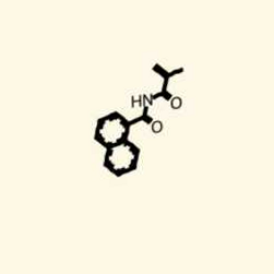 C=C(C)C(=O)NC(=O)c1cccc2ccccc12